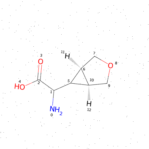 NC(C(=O)O)C1[C@H]2COC[C@@H]12